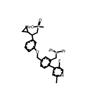 COP(C)(=O)CC(c1cccc(OCc2ccc(-c3cc(C)ncc3F)c(CN(C(C)C)C(C)C)c2)c1)C1CC1